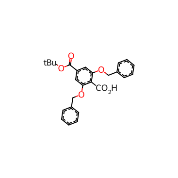 CC(C)(C)OC(=O)c1cc(OCc2ccccc2)c(C(=O)O)c(OCc2ccccc2)c1